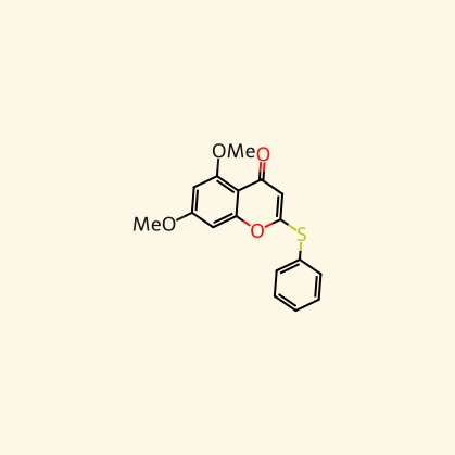 COc1cc(OC)c2c(=O)cc(Sc3ccccc3)oc2c1